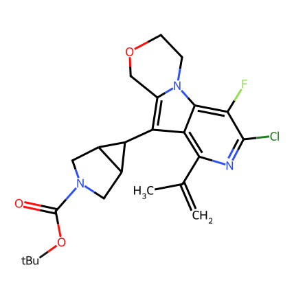 C=C(C)c1nc(Cl)c(F)c2c1c(C1C3CN(C(=O)OC(C)(C)C)CC31)c1n2CCOC1